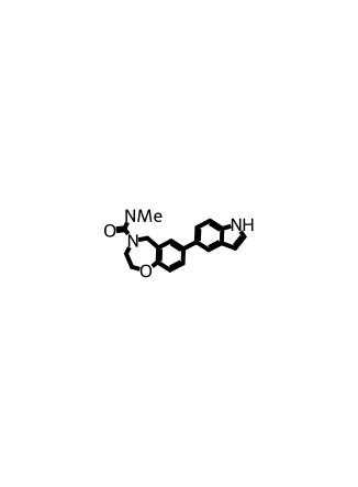 CNC(=O)N1CCOc2ccc(-c3ccc4[nH]ccc4c3)cc2C1